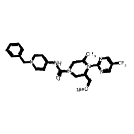 COCC1CN(C(=O)NC2CCN(Cc3ccccc3)CC2)CC(C)N1c1ncc(C(F)(F)F)cn1